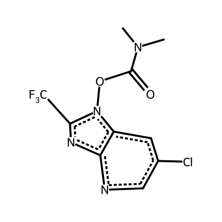 CN(C)C(=O)On1c(C(F)(F)F)nc2ncc(Cl)cc21